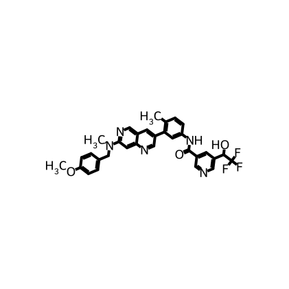 COc1ccc(CN(C)c2cc3ncc(-c4cc(NC(=O)c5cncc(C(O)C(F)(F)F)c5)ccc4C)cc3cn2)cc1